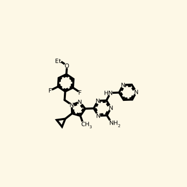 CCOc1cc(F)c(Cn2nc(-c3nc(N)nc(Nc4ccncn4)n3)c(C)c2C2CC2)c(F)c1